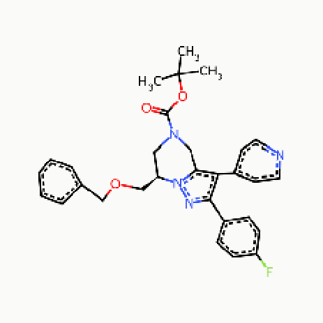 CC(C)(C)OC(=O)N1Cc2c(-c3ccncc3)c(-c3ccc(F)cc3)nn2[C@@H](COCc2ccccc2)C1